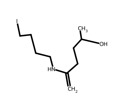 C=C(CCC(C)O)NCCCCI